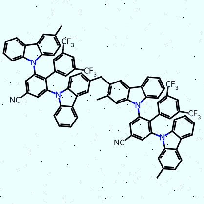 Cc1ccc2c(c1)c1ccccc1n2-c1cc(C#N)cc(-n2c3ccccc3c3cc(Cc4cc5c6ccccc6n(-c6cc(C#N)cc(-n7c8ccccc8c8ccc(C)cc87)c6-c6cc(C(F)(F)F)cc(C(F)(F)F)c6)c5cc4C)ccc32)c1-c1cc(C(F)(F)F)cc(C(F)(F)F)c1